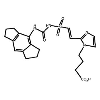 O=C(O)CCCn1ccnc1C=CS(=O)(=O)NC(=O)Nc1c2c(cc3c1CCC3)CCC2